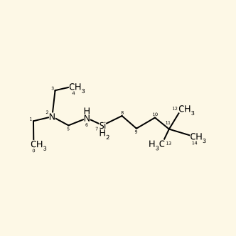 CCN(CC)CN[SiH2]CCCC(C)(C)C